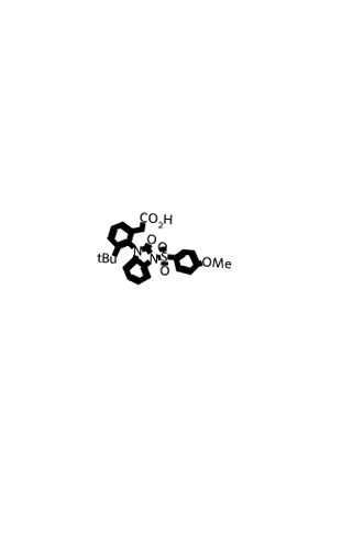 COc1ccc(S(=O)(=O)n2c(=O)n(-c3c(CC(=O)O)cccc3C(C)(C)C)c3ccccc32)cc1